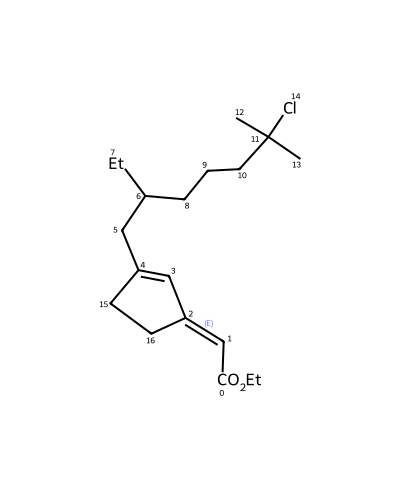 CCOC(=O)/C=C1/C=C(CC(CC)CCCC(C)(C)Cl)CC1